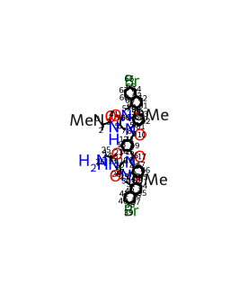 CN[C@@H](C)C(=O)N[C@H]1CN(C(=O)c2cccc(C(=O)N3C[C@H](NC(=O)[C@H](C)N)C(=O)N(Cc4c(OC)ccc5cc(Br)ccc45)c4ccccc43)c2)c2ccccc2N(Cc2c(OC)ccc3cc(Br)ccc23)C1=O